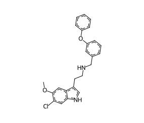 COc1cc2c(CCNCc3cccc(Oc4ccccc4)c3)c[nH]c2cc1Cl